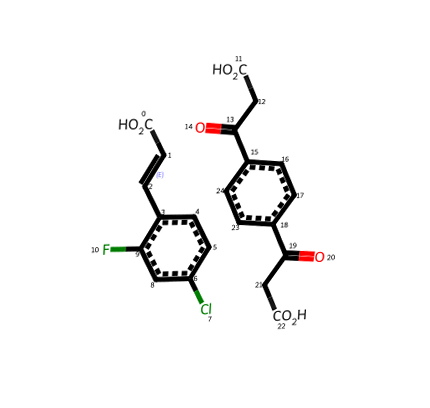 O=C(O)/C=C/c1ccc(Cl)cc1F.O=C(O)CC(=O)c1ccc(C(=O)CC(=O)O)cc1